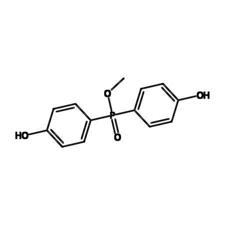 COP(=O)(c1ccc(O)cc1)c1ccc(O)cc1